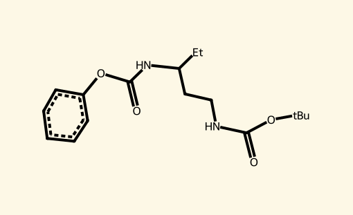 CCC(CCNC(=O)OC(C)(C)C)NC(=O)Oc1ccccc1